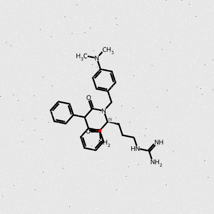 CN(C)c1ccc(CN(C(=O)C(c2ccccc2)c2ccccc2)[C@@H](CCCNC(=N)N)C(N)=O)cc1